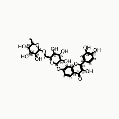 CC1O[C@@H](OCC2O[C@@H](Oc3ccc4c(=O)c(O)c(-c5ccc(O)c(O)c5)oc4c3)C(O)[C@@H](O)[C@@H]2O)C(O)[C@@H](O)[C@H]1O